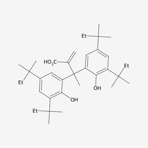 C=C(C(=O)O)C(C)(c1cc(C(C)(C)CC)cc(C(C)(C)CC)c1O)c1cc(C(C)(C)CC)cc(C(C)(C)CC)c1O